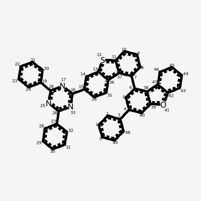 c1ccc(-c2cc(-c3cccc4sc5cc(-c6nc(-c7ccccc7)nc(-c7ccccc7)n6)ccc5c34)c3c(c2)oc2ccccc23)cc1